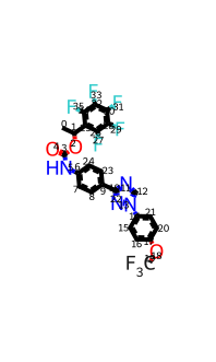 CC(OC(=O)Nc1ccc(-c2ncn(-c3ccc(OC(F)(F)F)cc3)n2)cc1)c1c(F)c(F)c(F)c(F)c1F